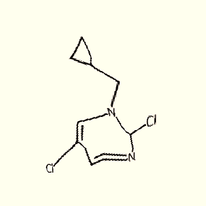 ClC1=CN(CC2CC2)C(Cl)N=C1